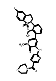 Cn1cc(-c2cccc(N3CCc4cc(F)ccc4S3(=O)=O)c2CO)cc(Nc2ccc(C(=O)N3CCOCC3)cn2)c1=O